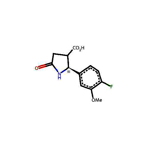 COc1cc([C@H]2NC(=O)CC2C(=O)O)ccc1F